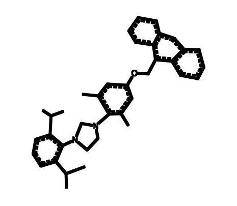 Cc1cc(OCc2c3ccccc3cc3ccccc23)cc(C)c1N1CCN(c2c(C(C)C)cccc2C(C)C)C1